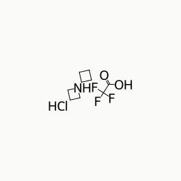 C1CCC1.C1CNC1.Cl.O=C(O)C(F)(F)F